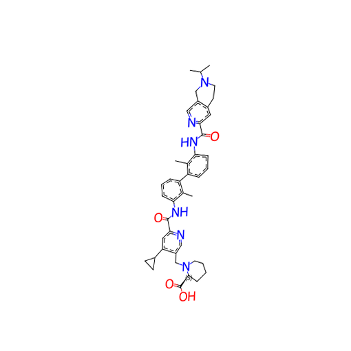 Cc1c(NC(=O)c2cc3c(cn2)CN(C(C)C)CC3)cccc1-c1cccc(NC(=O)c2cc(C3CC3)c(CN3CCCC[C@H]3C(=O)O)cn2)c1C